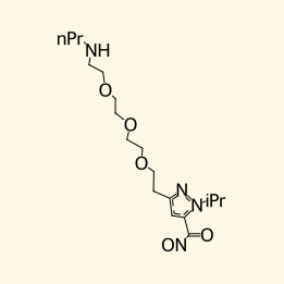 CCCNCCOCCOCCOCCc1cc(C(=O)N=O)n(C(C)C)n1